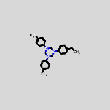 CCc1ccc(N2CN(c3ccc(C)cc3)CN(c3ccc(C)cc3)C2)cc1